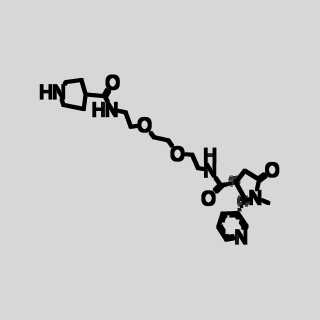 CN1C(=O)C[C@H](C(=O)NCCOCCOCCNC(=O)C2CCNCC2)[C@H]1c1cccnc1